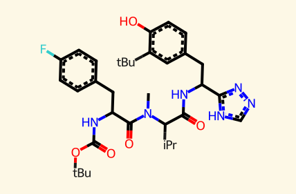 CC(C)C(C(=O)NC(Cc1ccc(O)c(C(C)(C)C)c1)c1nnc[nH]1)N(C)C(=O)C(Cc1ccc(F)cc1)NC(=O)OC(C)(C)C